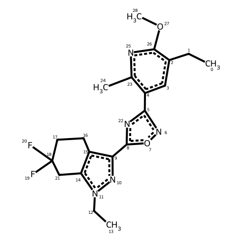 CCc1cc(-c2noc(-c3nn(CC)c4c3CCC(F)(F)C4)n2)c(C)nc1OC